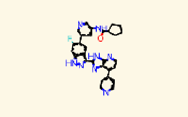 O=C(Nc1cncc(-c2cc3c(-c4nc5c(-c6ccncc6)ccnc5[nH]4)n[nH]c3cc2F)c1)C1CCCC1